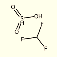 FC(F)F.O=[SH](=O)O